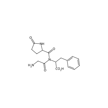 NCC(=O)N(C(=O)C1CCC(=O)N1)C(Cc1ccccc1)C(=O)O